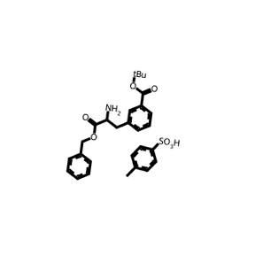 CC(C)(C)OC(=O)c1cccc(CC(N)C(=O)OCc2ccccc2)c1.Cc1ccc(S(=O)(=O)O)cc1